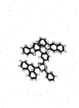 c1ccc(-c2nc(-c3ccc(-n4c5ccccc5c5cc6ccccc6cc54)c(-c4cccc5c4oc4ccccc45)c3)nc(-c3cc4ccccc4c4ccccc34)n2)cc1